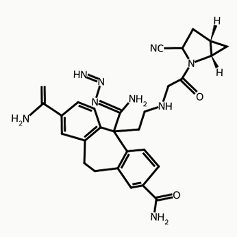 C=C(N)c1ccc2c(c1)CCc1cc(C(N)=O)ccc1C2(CCNCC(=O)N1C(C#N)C[C@@H]2C[C@@H]21)/C(N)=N/N=N